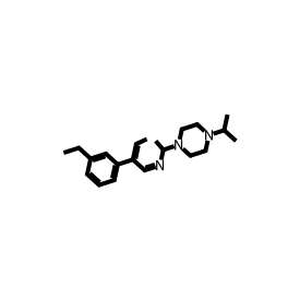 C/C=C(\C=N/C(C)N1CCN(C(C)C)CC1)c1cccc(CC)c1